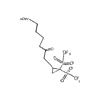 CCCCCCCCCCCCCCC(=O)CC1CC1(S(=O)(=O)C(F)(F)F)S(=O)(=O)C(F)(F)F